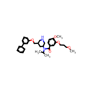 COCCCOc1cc(C(=O)N(C(C)C)C2CNCC(COc3cccc(-c4ccccc4)c3)C2)ccc1OC